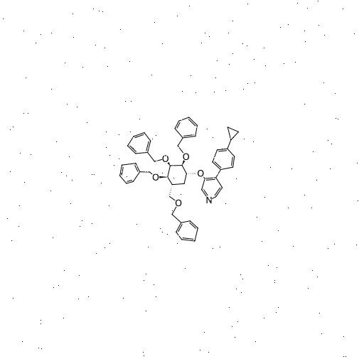 c1ccc(COC[C@H]2C[C@@H](Oc3cnccc3-c3ccc(C4CC4)cc3)[C@H](OCc3ccccc3)[C@H](OCc3ccccc3)[C@@H]2OCc2ccccc2)cc1